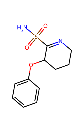 NS(=O)(=O)C1=NCCCC1Oc1ccccc1